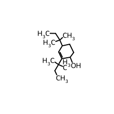 CCC(C)(C)C1=CC(C(C)(C)CC)CCC1O